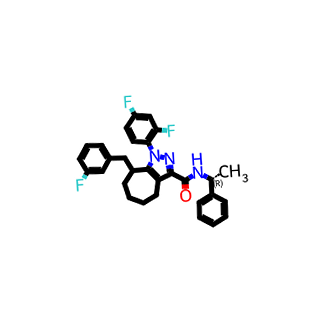 C[C@@H](NC(=O)c1nn(-c2ccc(F)cc2F)c2c1CCCCC2Cc1cccc(F)c1)c1ccccc1